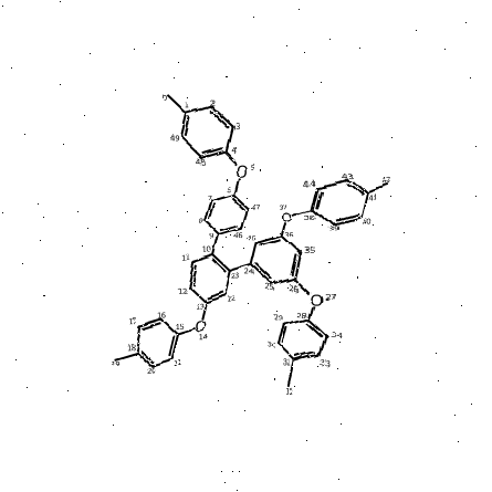 Cc1ccc(Oc2ccc(-c3ccc(Oc4ccc(C)cc4)cc3-c3cc(Oc4ccc(C)cc4)cc(Oc4ccc(C)cc4)c3)cc2)cc1